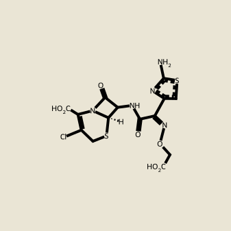 Nc1nc(/C(=N/OCC(=O)O)C(=O)NC2C(=O)N3C(C(=O)O)=C(Cl)CS[C@H]23)cs1